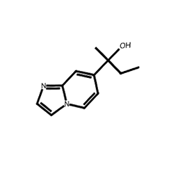 CCC(C)(O)c1ccn2ccnc2c1